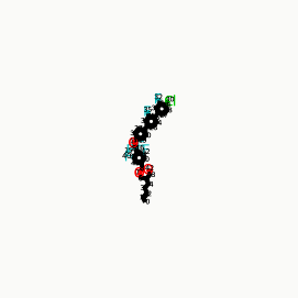 C/C=C/CCC1COC(c2cc(F)c(C(F)(F)Oc3ccc(-c4ccc(-c5ccc(Cl)c(F)c5)c(F)c4)cc3)c(F)c2)OC1